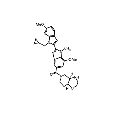 COc1ccc2cc(-c3nc4cc(C(=O)N5CC[C@@H]6OCCN[C@@H]6C5)cc(OC)c4n3C)n(CC3CC3)c2n1